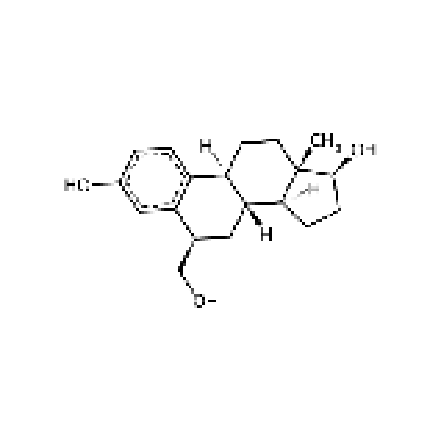 C[C@]12CC[C@@H]3c4ccc(O)cc4[C@H](CO)C[C@H]3[C@@H]1CC[C@@H]2O